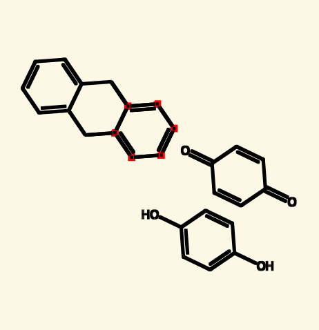 O=C1C=CC(=O)C=C1.Oc1ccc(O)cc1.c1ccc2c(c1)C1c3ccccc3C2c2ccccc21